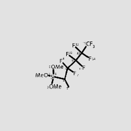 CO[Si](OC)(OC)C(C)C(F)(F)C(F)(F)C(F)(F)C(F)(F)F